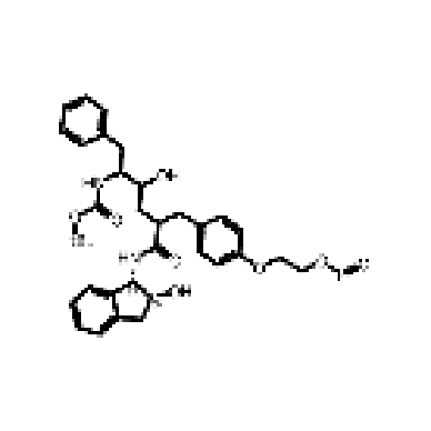 CC(C)(C)OC(=O)NC(Cc1ccccc1)C(O)CC(Cc1ccc(OCCOP=O)cc1)C(=O)N[C@H]1c2ccccc2C[C@@H]1O